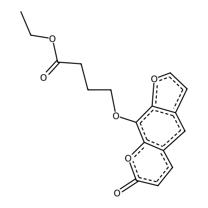 CCOC(=O)CCCOc1c2occc2cc2ccc(=O)oc12